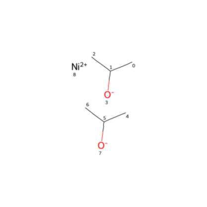 CC(C)[O-].CC(C)[O-].[Ni+2]